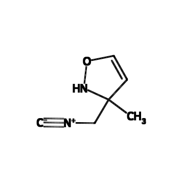 [C-]#[N+]CC1(C)C=CON1